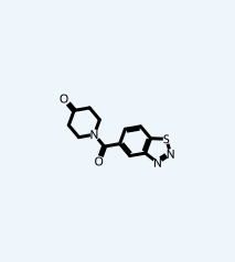 O=C1CCN(C(=O)c2ccc3snnc3c2)CC1